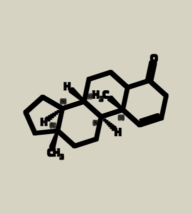 C[C@@]12CCC[C@H]1[C@@H]1CCC3C(=O)CC=C[C@]3(C)[C@H]1CC2